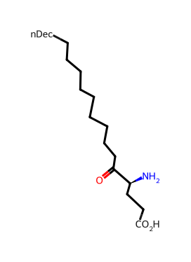 CCCCCCCCCCCCCCCCCCCC(=O)[C@@H](N)CCC(=O)O